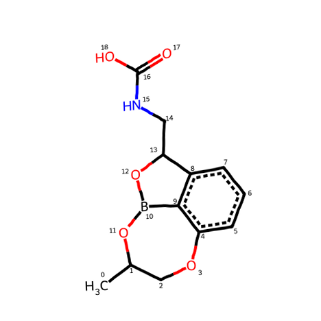 CC1COc2cccc3c2B(O1)OC3CNC(=O)O